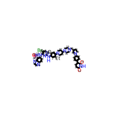 CCc1cc(Nc2ncc(Br)c(Nc3ccc4nccnc4c3P(C)(C)=O)n2)c(OC)cc1N1CCC(N2CCN(C[C@H]3CCN(c4ccc(C5CCC(=O)NC5=O)cc4)C3)CC2)CC1